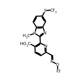 CCON=Cc1ccc(C(=O)O)c(-c2nc3cc(SC(F)(F)F)ccc3n2C)n1